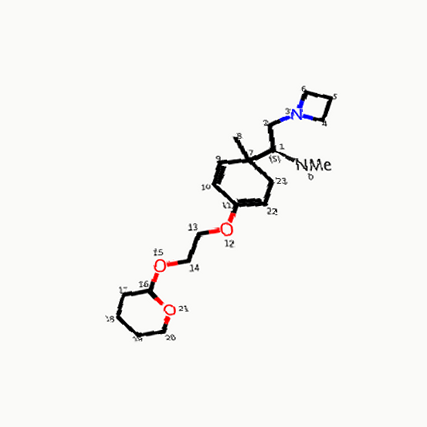 CN[C@H](CN1CCC1)C1(C)C=CC(OCCOC2CCCCO2)=CC1